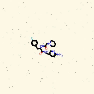 Nc1ccc(CNC(=O)C(Cc2ccc(F)cc2)NC(=O)CN2CCCCC2)cn1